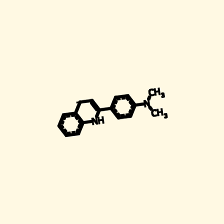 CN(C)c1ccc(C2=C[CH]c3ccccc3N2)cc1